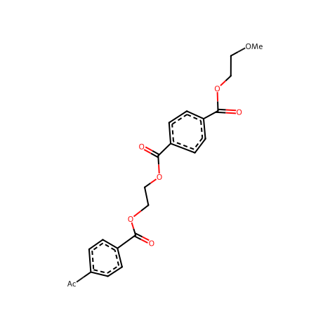 COCCOC(=O)c1ccc(C(=O)OCCOC(=O)c2ccc(C(C)=O)cc2)cc1